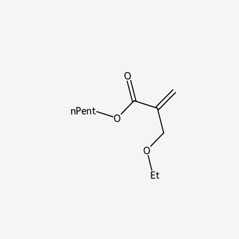 C=C(COCC)C(=O)OCCCCC